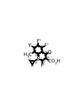 Cc1c(F)c(F)c(F)c2c(=O)c(C(=O)O)c(F)n(C3CC3)c12